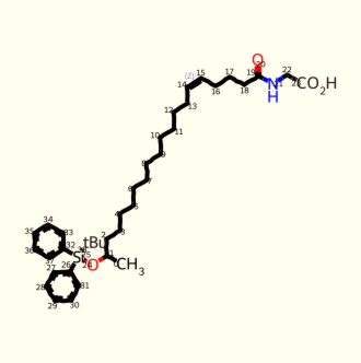 CC(CCCCCCCCCCCC/C=C\CCCC(=O)NCC(=O)O)O[Si](c1ccccc1)(c1ccccc1)C(C)(C)C